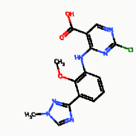 COc1c(Nc2nc(Cl)ncc2C(=O)O)cccc1-c1ncn(C)n1